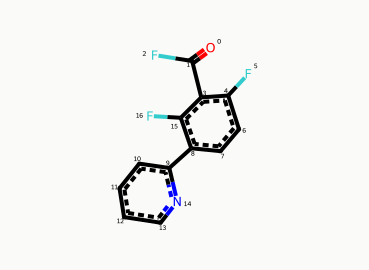 O=C(F)c1c(F)ccc(-c2ccccn2)c1F